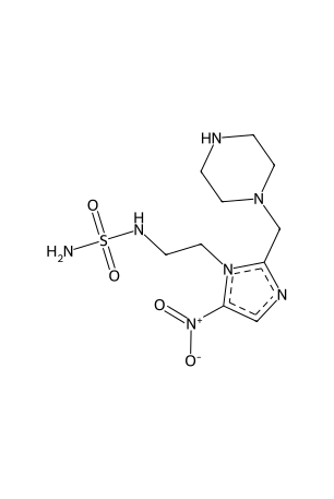 NS(=O)(=O)NCCn1c([N+](=O)[O-])cnc1CN1CCNCC1